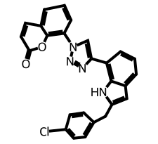 O=c1ccc2cccc(-n3cc(-c4cccc5cc(Cc6ccc(Cl)cc6)[nH]c45)nn3)c2o1